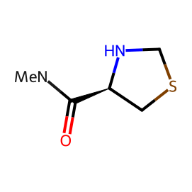 CNC(=O)[C@@H]1CSCN1